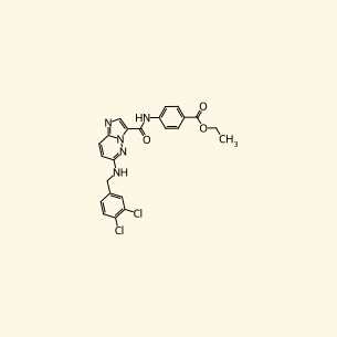 CCOC(=O)c1ccc(NC(=O)c2cnc3ccc(NCc4ccc(Cl)c(Cl)c4)nn23)cc1